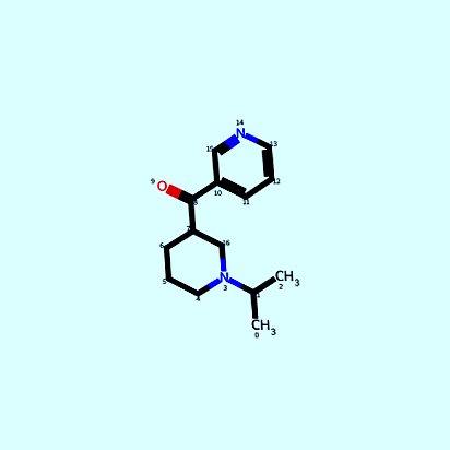 CC(C)N1CCCC(C(=O)c2cccnc2)C1